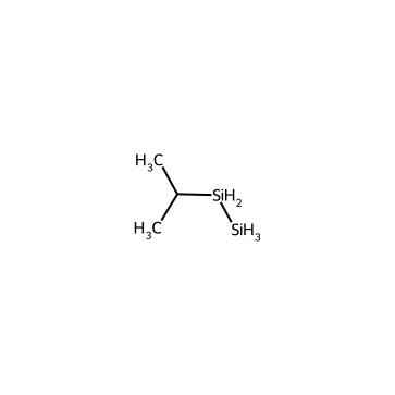 CC(C)[SiH2][SiH3]